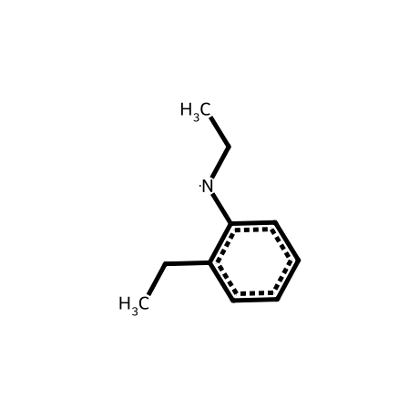 CC[N]c1ccccc1CC